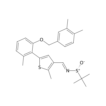 Cc1ccc(COc2cccc(C)c2-c2cc(C=N[S@+]([O-])C(C)(C)C)c(C)s2)cc1C